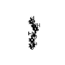 O=C(Cc1ccc(N2CCOCC2=O)cc1)NCc1ccc2[nH]c(-c3ccc(Cl)s3)nc2c1